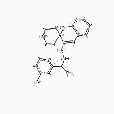 CC(NNC1=Nc2ccccc2NC12CCNCC2)c1cccc(Cl)c1